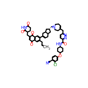 C=CCc1cc2c(cc1C1=CCC3C[C@@H](CN4CCC=C(Cc5ccc(C(=O)NC6CCC(Oc7ccc(C#N)c(Cl)c7)CC6)nn5)CC4)CC3C1)C(=O)C(CC1CCC(=O)NC1=O)=CC2=O